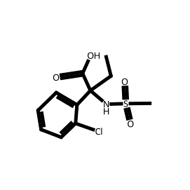 CCC(NS(C)(=O)=O)(C(=O)O)c1ccccc1Cl